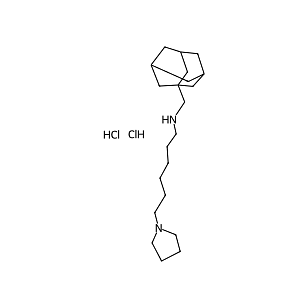 C(CCCN1CCCC1)CCNCC12CC3CC(CC(C3)C1)C2.Cl.Cl